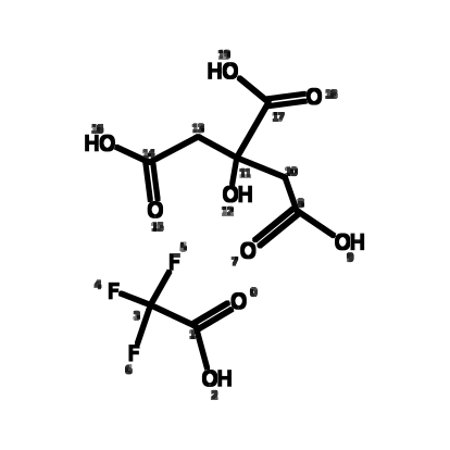 O=C(O)C(F)(F)F.O=C(O)CC(O)(CC(=O)O)C(=O)O